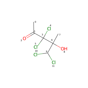 CC(=O)C(Cl)(Cl)C(C)(O)C(Cl)Cl